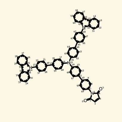 O=C1C=CC(=O)N1c1ccc(-c2ccc(N(c3ccc(-c4ccc(-n5c6ccccc6c6ccccc65)cc4)cc3)c3ccc(-c4ccc(-n5c6ccccc6c6ccccc65)cc4)cc3)cc2)cc1